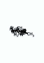 CC#CC(=O)N1CCC[C@H]1c1nc(C2=CC(OC)C(C(=O)Nc3cc(C(F)(F)F)ccn3)C=C2)c2c(N)nccn12